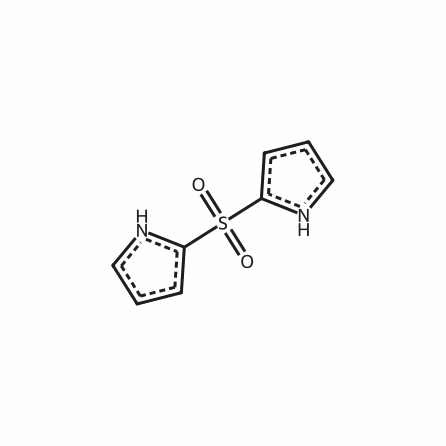 O=S(=O)(c1ccc[nH]1)c1ccc[nH]1